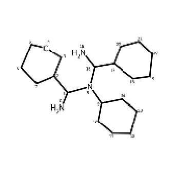 NC(C1CCCCC1)N(C1CCCCC1)C(N)C1CCCCC1